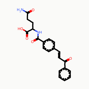 NC(=O)CCC(NC(=O)c1ccc(/C=C/C(=O)c2ccccc2)cc1)C(=O)O